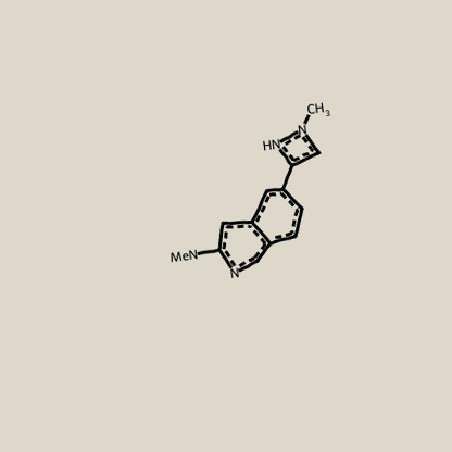 CNc1cc2cc(-c3cn(C)[nH]3)ccc2cn1